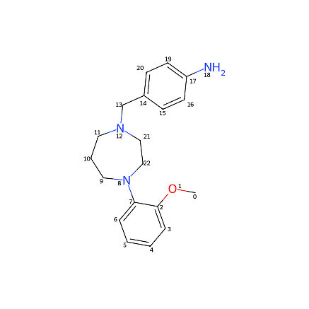 COc1ccccc1N1CCCN(Cc2ccc(N)cc2)CC1